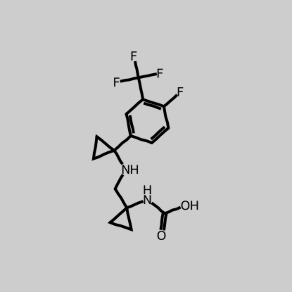 O=C(O)NC1(CNC2(c3ccc(F)c(C(F)(F)F)c3)CC2)CC1